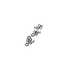 O=C(O)NCCNS(=O)(=O)c1ccc(-c2ccnc3c2cc(C(F)F)n3S(=O)(=O)c2ccccc2)cc1